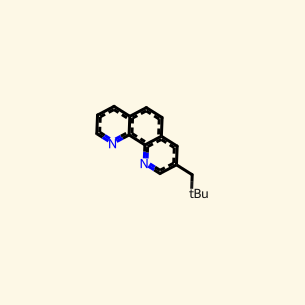 CC(C)(C)Cc1cnc2c(ccc3cccnc32)c1